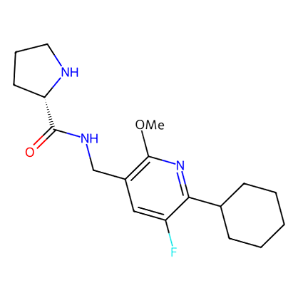 COc1nc(C2CCCCC2)c(F)cc1CNC(=O)[C@@H]1CCCN1